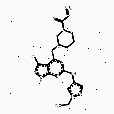 C=CC(=O)N1CCC[C@@H](Sc2nc(Nc3cnn(CC(F)(F)F)c3)nc3[nH]nc(Cl)c23)C1